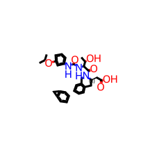 CC(C)Oc1cccc(NC(=O)NC(C(=O)N2Cc3ccccc3C[C@@H]2CC(=O)O)C(C)O)c1.c1ccc2c(c1)C2